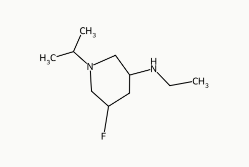 CCNC1CC(F)CN(C(C)C)C1